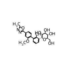 COc1cc(-c2nnc(C)o2)ccc1-c1cccc([C@H]2O[C@H](CO)[C@@H](O)[C@H](O)[C@@H]2O)c1C